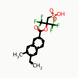 C=Cc1cc2ccc(C(=O)OC(CS(=O)(=O)O)(C(F)(F)F)C(F)(F)F)cc2cc1C